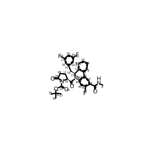 CNC(=O)c1cc(-c2cccnc2[C@H](Cc2cc(F)cc(F)c2)NC(=O)[C@@H]2CCC(=O)N2C(=O)OC(C)(C)C)ccc1F